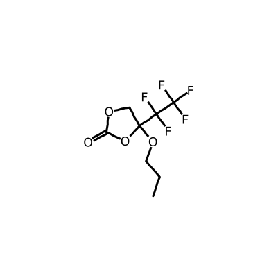 CCCOC1(C(F)(F)C(F)(F)F)COC(=O)O1